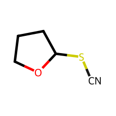 N#CSC1CCCO1